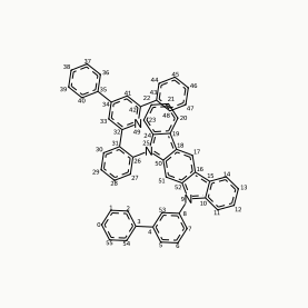 c1ccc(-c2cccc(-n3c4ccccc4c4cc5c6ccccc6n(-c6ccccc6-c6cc(-c7ccccc7)cc(-c7ccccc7)n6)c5cc43)c2)cc1